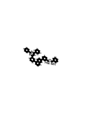 N=C(OC(=N)c1cccc(-c2ccc3c(C4=CC(c5cc(-c6ccccc6)nc(-c6ccccc6)n5)CC=C4)cccc3c2)c1)c1ccccc1